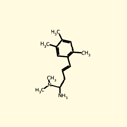 Cc1cc(C)c(C=CCC(N)N(C)C)cc1C